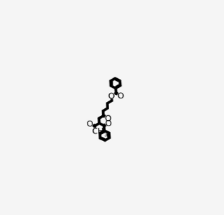 CC(=O)C(CC(=O)CCCCOC(=O)c1ccccc1)C(=O)c1ccccc1